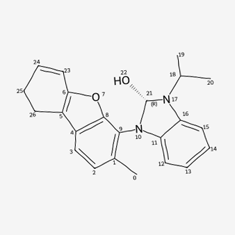 Cc1ccc2c3c(oc2c1N1c2ccccc2N(C(C)C)[C@H]1O)C=CCC3